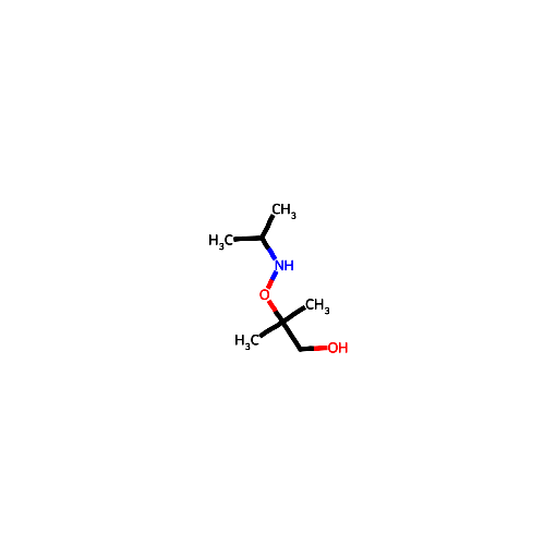 CC(C)NOC(C)(C)CO